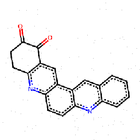 O=C1CCc2nc3ccc4nc5ccccc5cc4c3cc2C1=O